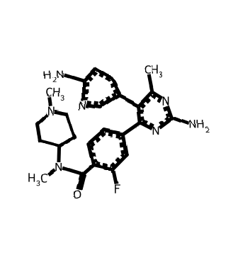 Cc1nc(N)nc(-c2ccc(C(=O)N(C)C3CCN(C)CC3)c(F)c2)c1-c1ccc(N)nc1